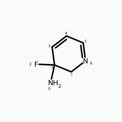 NC1(F)C=CC=NC1